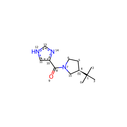 CC(C)(C)[C@@H]1CCN(C(=O)c2c[nH]cn2)C1